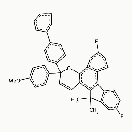 COc1ccc(C2(c3ccc(-c4ccccc4)cc3)C=Cc3c4c(c5ccc(F)cc5c3O2)-c2ccc(F)cc2C4(C)C)cc1